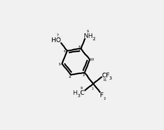 CC(F)(c1ccc(O)c(N)c1)C(F)(F)F